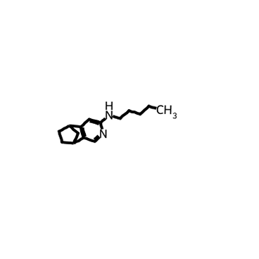 CCCCCNc1cc2c(cn1)C1CCC2C1